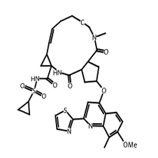 COc1ccc2c(OC3CC4C(=O)NC5(C(=O)NS(=O)(=O)C6CC6)CC5C=CCCCCN(C)C(=O)C4C3)cc(-c3nccs3)nc2c1C